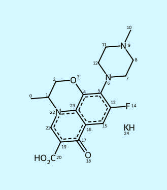 CC1COc2c(N3CCN(C)CC3)c(F)cc3c(=O)c(C(=O)O)cn1c23.[KH]